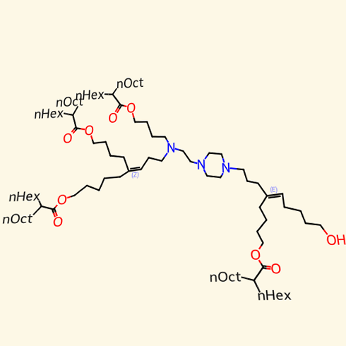 CCCCCCCCC(CCCCCC)C(=O)OCCCCC/C(=C/CCN(CCCCOC(=O)C(CCCCCC)CCCCCCCC)CCN1CCN(CCC/C(=C/CCCCO)CCCCOC(=O)C(CCCCCC)CCCCCCCC)CC1)CCCCOC(=O)C(CCCCCC)CCCCCCCC